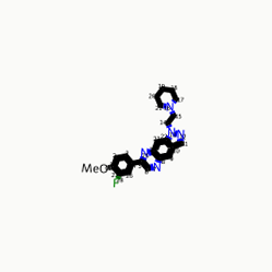 COc1ccc(-c2cnc3cc4cnn(CCN5CCCCC5)c4cc3n2)cc1F